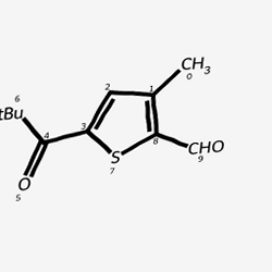 Cc1cc(C(=O)C(C)(C)C)sc1C=O